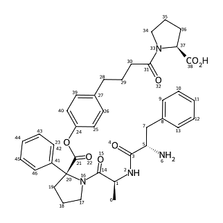 C[C@H](NC(=O)[C@@H](N)Cc1ccccc1)C(=O)N1CCC[C@]1(C(=O)Oc1ccc(CCCC(=O)N2CCC[C@H]2C(=O)O)cc1)c1ccccc1